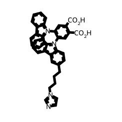 O=C(O)c1cc(-n2c3ccccc3c3ccccc32)c(-n2c3ccccc3c3cc(CCCCn4ccnc4)ccc32)cc1C(=O)O